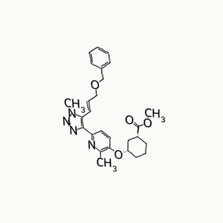 COC(=O)[C@H]1CCC[C@H](Oc2ccc(-c3nnn(C)c3C=CCOCc3ccccc3)nc2C)C1